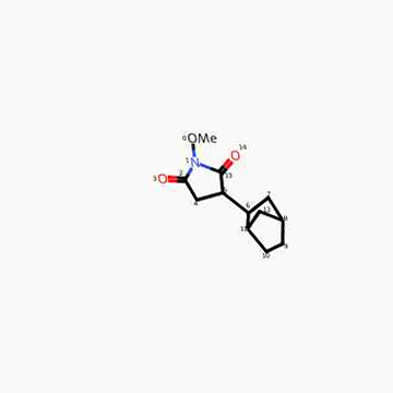 CON1C(=O)CC(C2CC3CCC2C3)C1=O